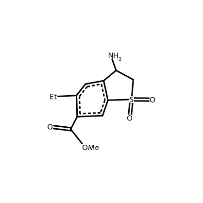 CCc1cc2c(cc1C(=O)OC)S(=O)(=O)CC2N